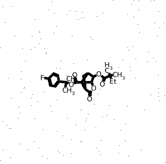 CCC(C)(C)C(=O)OC1C2CC3C1OC(=O)C3C2C(=O)OC(C)(C)c1ccc(F)cc1